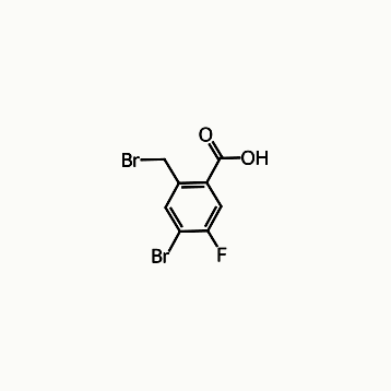 O=C(O)c1cc(F)c(Br)cc1CBr